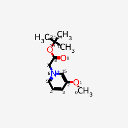 COc1ccc[n+](CC(=O)OC(C)(C)C)c1